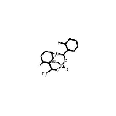 CCCCP(=O)(OC(C1CCCCC1F)C(F)(F)F)OC(C1CCCCC1F)C(F)(F)F